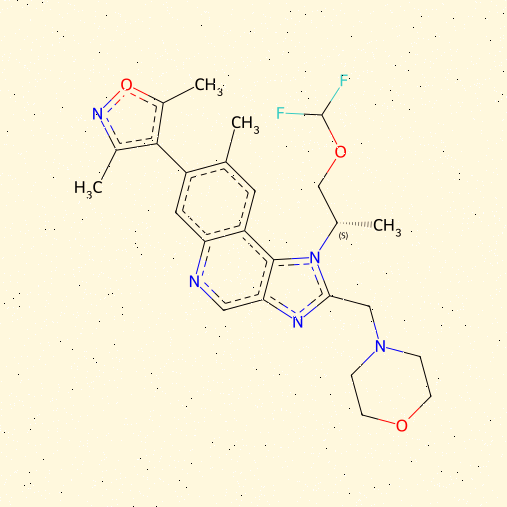 Cc1cc2c(cc1-c1c(C)noc1C)ncc1nc(CN3CCOCC3)n([C@@H](C)COC(F)F)c12